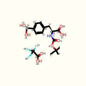 CC(C)(C)OC(=O)N[C@@H](Cc1ccc(B(O)O)cc1)C(=O)O.O=C(O)C(F)(F)F